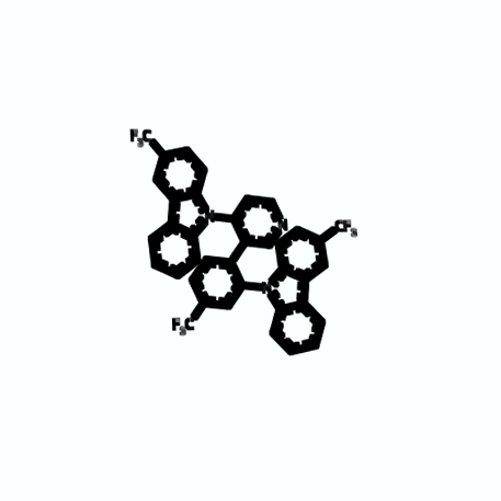 FC(F)(F)c1ccc(-c2cnccc2-n2c3ccccc3c3cc(C(F)(F)F)ccc32)c(-n2c3ccccc3c3cc(C(F)(F)F)ccc32)c1